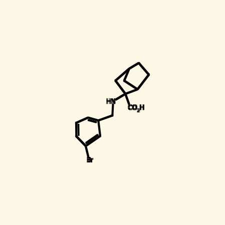 O=C(O)C1(NCc2cccc(Br)c2)CC2CCC1C2